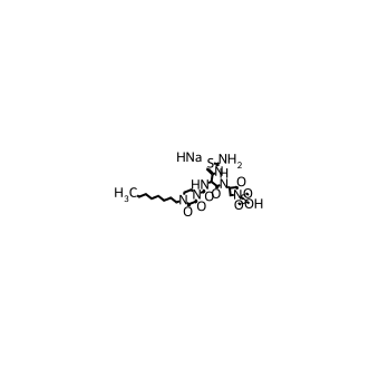 CCCCCCCCN1CCN(C(=O)NC(C(=O)NC2CN(S(=O)(=O)O)C2=O)c2csc(N)n2)C(=O)C1=O.[NaH]